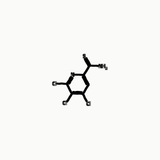 NC(=S)c1cc(Cl)c(Cl)c(Cl)n1